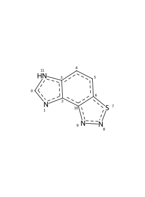 c1nc2c(ccc3snnc32)[nH]1